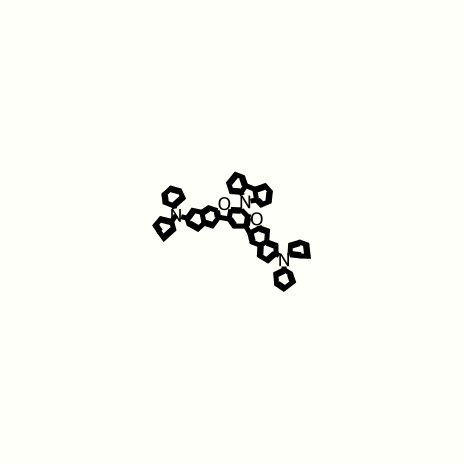 c1ccc(N(c2ccccc2)c2ccc3cc4c(cc3c2)oc2c(-n3c5ccccc5c5ccccc53)c3oc5cc6cc(N(c7ccccc7)c7ccccc7)ccc6cc5c3cc24)cc1